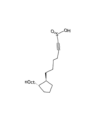 CCCCCCCC[C@H]1CCC[C@@H]1CCCCC#CS(=O)O